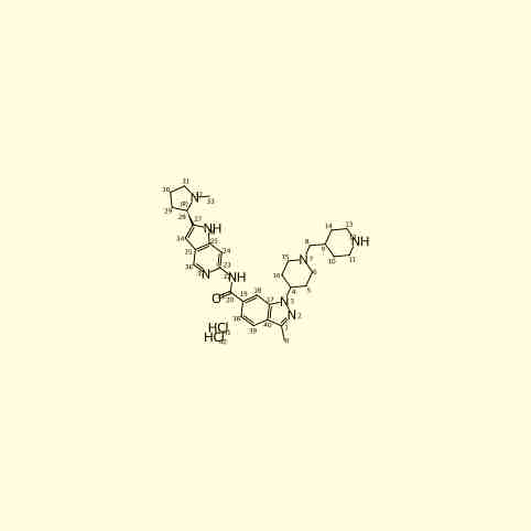 Cc1nn(C2CCN(CC3CCNCC3)CC2)c2cc(C(=O)Nc3cc4[nH]c([C@H]5CCCN5C)cc4cn3)ccc12.Cl.Cl